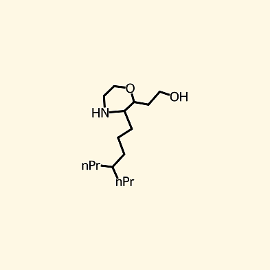 CCCC(CCC)CCCC1NCCOC1CCO